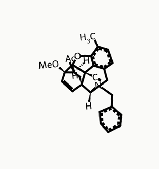 CO[C@]12C=C[C@@]3(C[C@@H]1C(C)=O)[C@H]1Cc4ccc(C)c5c4[C@@]3(CCN1Cc1ccccc1)[C@H]2O5